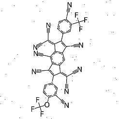 N#CC(C#N)=C1C(c2ccc(OC(F)(F)F)c(C#N)c2)=C(C#N)c2c1cc1c(c2C#N)C(=C(C#N)C#N)C(c2ccc(C#N)c(C(F)(F)F)c2)=C1C#N